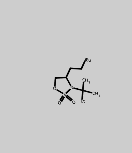 CCC(C)CCC1COS(=O)(=O)N1C(C)(C)CC